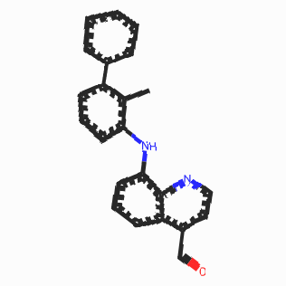 Cc1c(Nc2cccc3c(C=O)ccnc23)cccc1-c1ccccc1